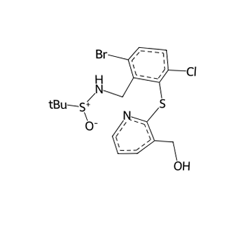 CC(C)(C)[S+]([O-])NCc1c(Br)ccc(Cl)c1Sc1ncccc1CO